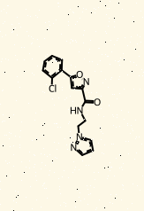 O=C(NCCn1cccn1)c1cc(-c2ccccc2Cl)on1